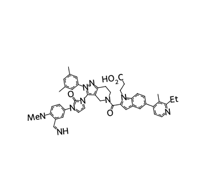 CCc1nccc(-c2ccc3c(c2)cc(C(=O)N2CCc4nn(-c5cc(C)cc(C)c5)c(-n5ccn(-c6ccc(NC)c(C=N)c6)c5=O)c4C2)n3CCC(=O)O)c1C